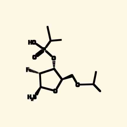 B[C@@H]1O[C@H](COC(C)C)[C@@H](OP(=O)(O)C(C)C)[C@H]1F